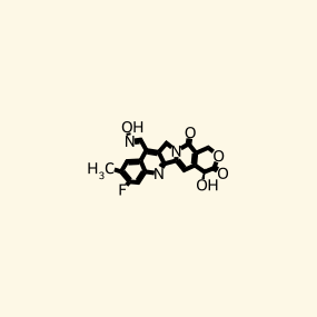 Cc1cc2c(/C=N/O)c3c(nc2cc1F)-c1cc2c(c(=O)n1C3)COC(=O)[C@H]2O